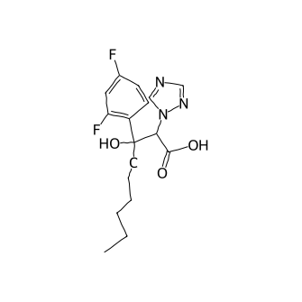 CCCCCCC(O)(c1ccc(F)cc1F)C(C(=O)O)n1cncn1